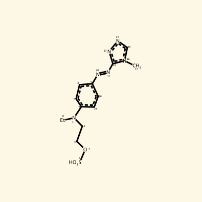 CCN(CCOS(=O)(=O)O)c1ccc(N=Nc2nncn2C)cc1